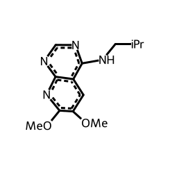 COc1cc2c(NCC(C)C)ncnc2nc1OC